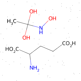 CC(O)(O)NO.NC(CCC(=O)O)C(=O)O